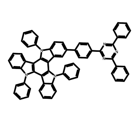 c1ccc(-c2nc(-c3ccccc3)nc(-c3ccc(-c4ccc5c(c4)c4c6c(c7ccccc7n6-c6ccccc6)c6c(c7ccccc7n6-c6ccccc6)c4n5-c4ccccc4)cc3)n2)cc1